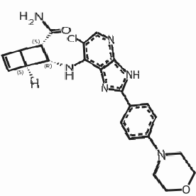 NC(=O)[C@H]1C2C=C[C@@H]2[C@H]1Nc1c(Cl)cnc2[nH]c(-c3ccc(N4CCOCC4)cc3)nc12